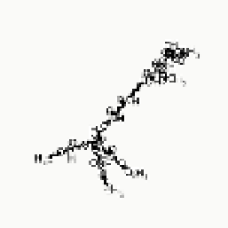 CCCOCCNC(=O)CCOCC(COCCC(=O)NCCOCCOC)(COCCC(=O)NCCOCCOC)NC(=O)CCOCCNC(=O)CCCC(=O)NCCCCCCOP(=O)(O)OC[C@H]1O[C@@H](C)CC1OP(=O)(O)OC[C@H]1O[C@@H](C)CC1OP(=O)(O)OC